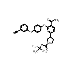 CC(C)(C)OC(=O)N1CCC(c2ccc(C(N)=O)c(Oc3ccc(Oc4cccc(C#N)c4)cc3)n2)C1